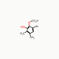 CCCc1cc(C)c(C)c(O)c1OC(=O)O